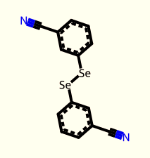 N#Cc1cccc([Se][Se]c2cccc(C#N)c2)c1